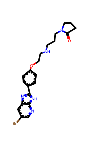 O=C1CCCN1CCCNCCOc1ccc(-c2nc3cc(Br)cnc3[nH]2)cc1